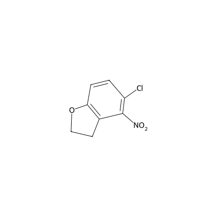 O=[N+]([O-])c1c(Cl)ccc2c1CCO2